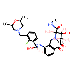 BC(O)(Nc1cccc(C=O)c1CN(C)C(B)(C(=O)NC)C(B)(O)C(B)(B)C=O)c1cccc(CN2CC(C)OC(C)C2)c1F